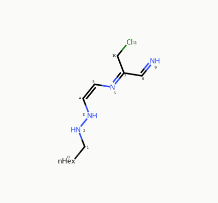 CCCCCCCNN/C=C\N=C(\C=N)CCl